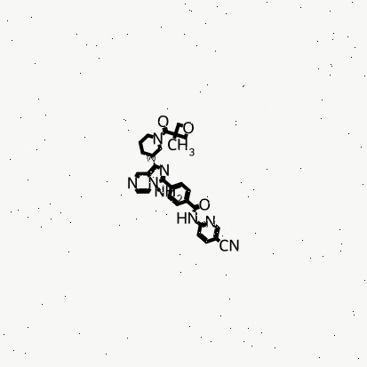 CC1(C(=O)N2CCC[C@@H](C3=C4C=NC=C[N+]4(N)C(c4ccc(C(=O)Nc5ccc(C#N)cn5)cc4)=N3)C2)COC1